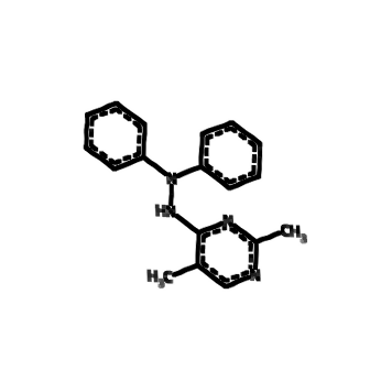 Cc1ncc(C)c(NN(c2ccccc2)c2ccccc2)n1